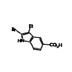 CCc1c(Br)[nH]c2ccc(C(=O)O)cc12